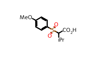 COc1ccc(S(=O)(=O)C(C(=O)O)C(C)C)cc1